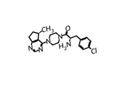 C[C@@H]1CCc2ncnc(N3CCN(C(=O)[C@H](N)Cc4ccc(Cl)cc4)CC3)c21